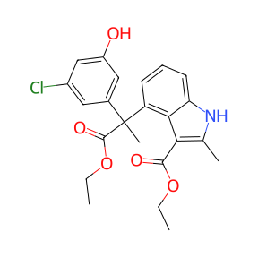 CCOC(=O)c1c(C)[nH]c2cccc(C(C)(C(=O)OCC)c3cc(O)cc(Cl)c3)c12